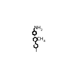 C.NCc1ccc([C@H]2CC[C@H]([C@H]3CC[C@H](I)CC3)CC2)cc1